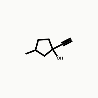 C#CC1(O)CCC(C)C1